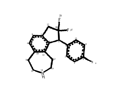 Fc1ccc(C2c3c(ccc4c3CCNCC4)CC2(F)F)cc1